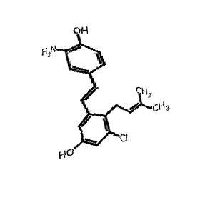 CC(C)=CCc1c(Cl)cc(O)cc1/C=C/c1ccc(O)c(N)c1